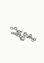 O=C([O-])CNC(=O)c1ccc2c(Oc3ccc(C[C@@H](CO)NC[C@H](O)c4cccc(Cl)c4)cc3)ccnc2c1.[Na+]